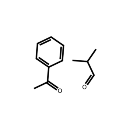 CC(=O)c1ccccc1.CC(C)C=O